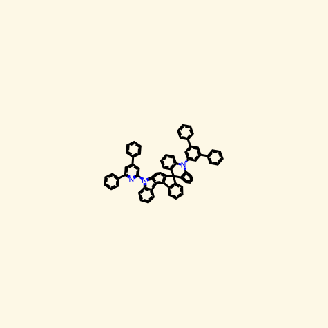 c1ccc(-c2cc(-c3ccccc3)cc(N3c4ccccc4C4(c5ccccc5-c5c4ccc4c5c5ccccc5n4-c4cc(-c5ccccc5)cc(-c5ccccc5)n4)c4ccccc43)c2)cc1